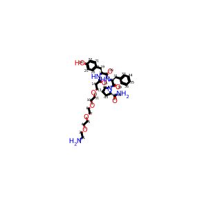 NCCOCCOCCOCCOCCC(=O)N[C@@H](Cc1ccc(O)cc1)C(=O)N[C@@H](Cc1ccccc1)C(=O)N1CCC[C@H]1C(N)=O